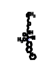 COCCOCCCNC(=O)/C(C#N)=C(\C)c1ccc2cc(N3CCCCC3)ccc2c1